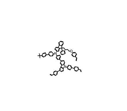 C=Cc1ccc(OCCCCC2(c3ccccc3)c3ccccc3-c3ccc(N(c4ccc(-c5ccc(C(C)(C)C)cc5)cc4)c4ccc(-c5ccc6c(c5)c5cc(-c7ccc(C=C)cc7)ccc5n6-c5ccc(-c6ccc(C=C)cc6)cc5)cc4)cc32)cc1